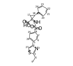 CCc1nc(-c2ccc(S(=O)(=O)N[C@]3(C(=O)O)C[C@H]3c3ccccc3)cc2)cs1